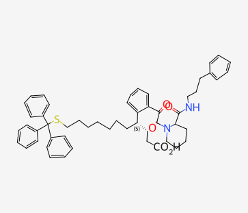 O=C(O)CC[C@H](CCCCCCCSC(c1ccccc1)(c1ccccc1)c1ccccc1)c1ccccc1C(=O)C(=O)N1CCCCC1C(=O)NCCCc1ccccc1